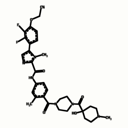 Cc1cc(NC(=O)c2ncc(-c3ccc(OCC#N)c(F)c3F)n2C)ccc1C(=O)N1CCN(C(=O)C2(O)CCN(C)CC2)CC1